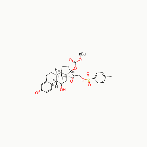 CCCCOC(=O)O[C@]1(C(=O)COS(=O)(=O)c2ccc(C)cc2)CC[C@H]2[C@@H]3CCC4=CC(=O)C=C[C@]4(C)[C@H]3C(O)C[C@@]21C